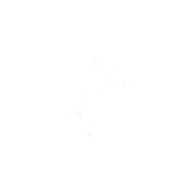 CCCCC1(CCN(C)CC(C)C)COC1